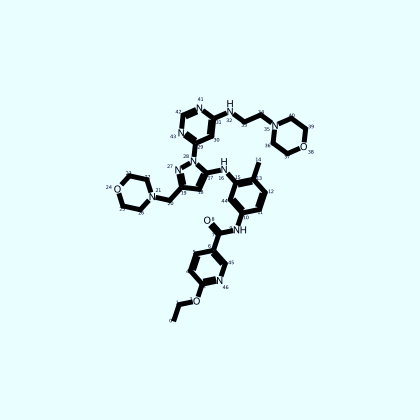 CCOc1ccc(C(=O)Nc2ccc(C)c(Nc3cc(CN4CCOCC4)nn3-c3cc(NCCN4CCOCC4)ncn3)c2)cn1